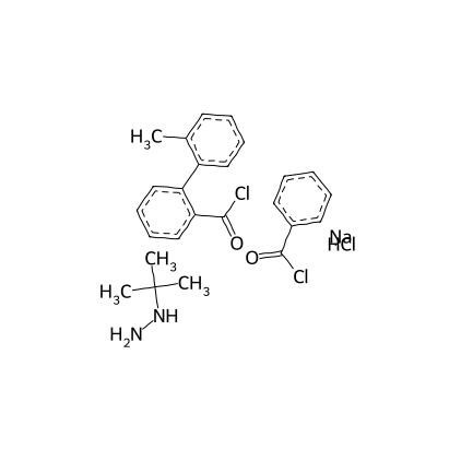 CC(C)(C)NN.Cc1ccccc1-c1ccccc1C(=O)Cl.Cl.O=C(Cl)c1ccccc1.[Na]